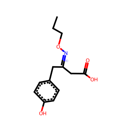 CCCO/N=C(/CC(=O)O)Cc1ccc(O)cc1